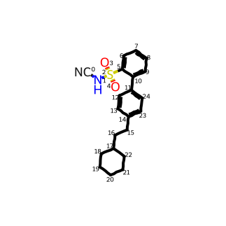 N#CNS(=O)(=O)c1ccccc1-c1ccc(CCC2CCCCC2)cc1